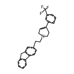 FC(F)(F)c1cccc(C2=CCN(CCc3ccc4c(c3)Cc3ccccc3-4)CC2)c1